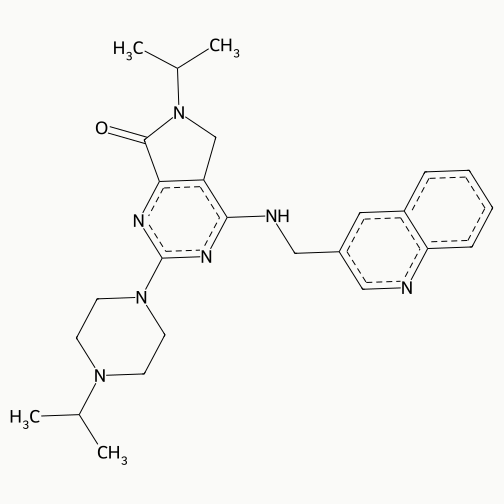 CC(C)N1CCN(c2nc(NCc3cnc4ccccc4c3)c3c(n2)C(=O)N(C(C)C)C3)CC1